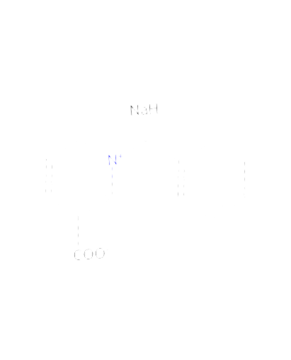 O=C([O-])c1ccc[n+](Cc2ccccc2)c1.[NaH]